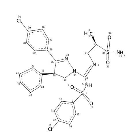 C[C@H](C/N=C(/NS(=O)(=O)c1ccc(Cl)cc1)N1C[C@@H](c2ccccc2)C(c2ccc(Cl)cc2)=N1)S(N)(=O)=O